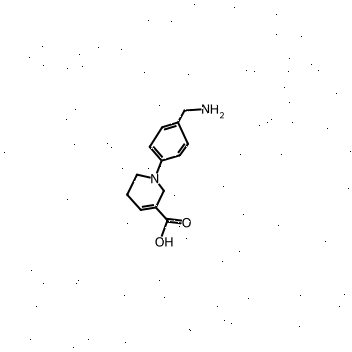 NCc1ccc(N2CCC=C(C(=O)O)C2)cc1